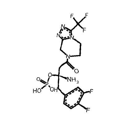 N[C@@](CC(=O)N1CCn2c(nnc2C(F)(F)F)C1)(Cc1ccc(F)c(F)c1)OP(=O)(O)O